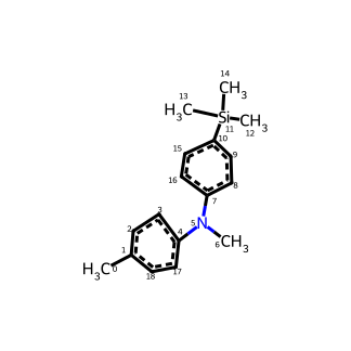 Cc1ccc(N(C)c2ccc([Si](C)(C)C)cc2)cc1